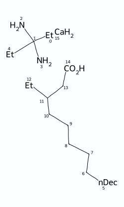 CCC(N)(N)CC.CCCCCCCCCCCCCCCC(CC)CC(=O)O.[CaH2]